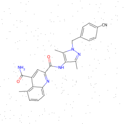 Cc1nn(Cc2ccc(C#N)cc2)c(C)c1NC(=O)c1cc(C(N)=O)c2c(C)cccc2n1